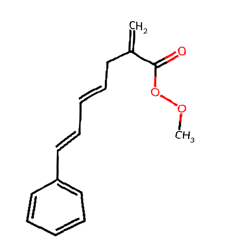 C=C(CC=CC=Cc1ccccc1)C(=O)OOC